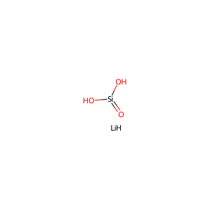 O=[Si](O)O.[LiH]